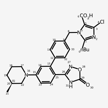 CCCCc1nc(Cl)c(C(=O)O)n1Cc1ccc(-c2cc(N3CCC[C@H](C)C3)ccc2-c2noc(=O)[nH]2)cc1